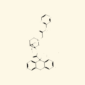 O=C(C[N+]12CCC(CC1)[C@@H](OC(=O)C1(O)c3ccccc3Cc3ccccc31)C2)Nc1cnccn1.[Br-]